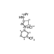 CCCNC1=NN(c2cccc(C(F)(F)F)c2)CC1.Cl